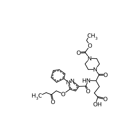 CCOC(=O)N1CCN(C(=O)C(CCC(=O)O)NC(=O)c2cc(OCC(=O)CC)n(-c3ccccc3)n2)CC1